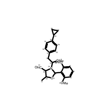 COc1cccc(OC)c1C1OC(C)C(C=O)N1C(Cc1ccc(C2CC2)cc1)OC